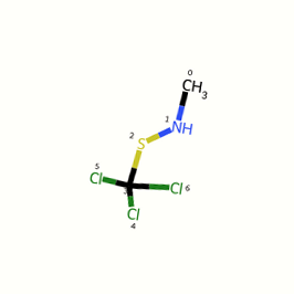 CNSC(Cl)(Cl)Cl